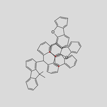 CC1(C)c2ccccc2-c2cccc(C(c3ccccc3-c3cccc4c3oc3ccccc34)c3cccc(-c4cccc5c4oc4ccccc45)c3-c3ccc4ccccc4c3)c21